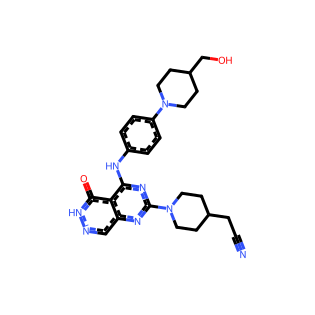 N#CCC1CCN(c2nc(Nc3ccc(N4CCC(CO)CC4)cc3)c3c(=O)[nH]ncc3n2)CC1